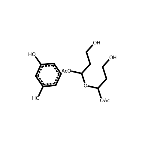 CC(=O)OC(CCO)OC(CCO)OC(C)=O.Oc1cccc(O)c1